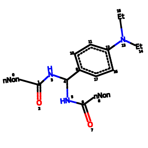 CCCCCCCCCC(=O)NC(NC(=O)CCCCCCCCC)c1ccc(N(CC)CC)cc1